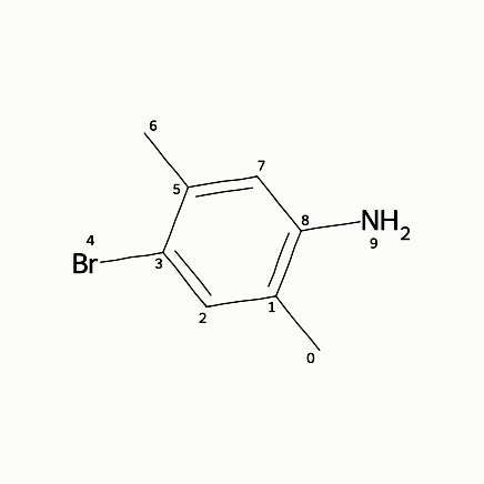 Cc1cc(Br)c(C)cc1N